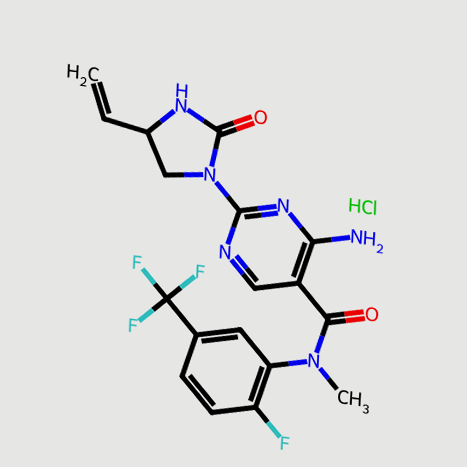 C=CC1CN(c2ncc(C(=O)N(C)c3cc(C(F)(F)F)ccc3F)c(N)n2)C(=O)N1.Cl